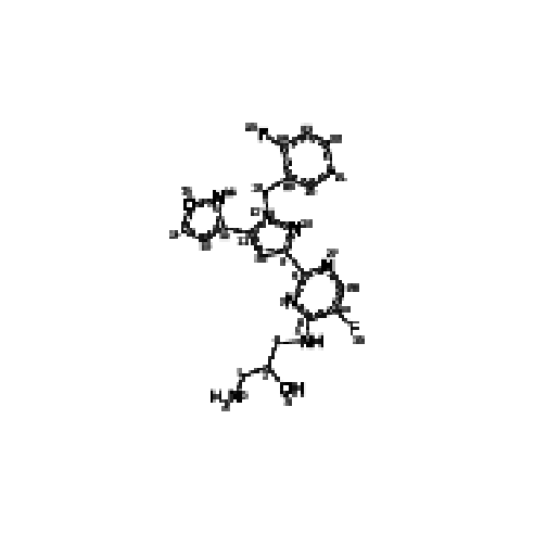 NCC(O)CNc1nc(-c2cc(-c3ccon3)n(Cc3ccccc3F)n2)ncc1F